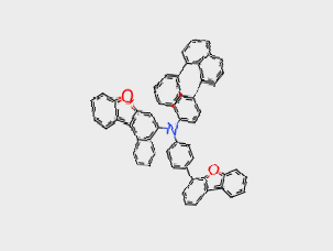 c1ccc(-c2cccc3cccc(-c4ccc(N(c5ccc(-c6cccc7c6oc6ccccc67)cc5)c5cc6oc7ccccc7c6c6ccccc56)cc4)c23)cc1